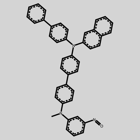 CN(c1ccc(-c2ccc(N(c3ccc(-c4ccccc4)cc3)c3ccc4ccccc4c3)cc2)cc1)c1cccc(N=O)c1